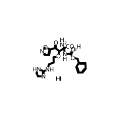 I.NC(NC(=O)OCc1ccccc1)(C(=O)O)C(OCCCNC1=NCCN1)C(=O)c1ccno1